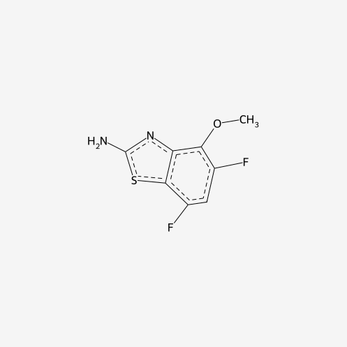 COc1c(F)cc(F)c2sc(N)nc12